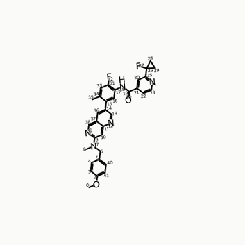 COc1ccc(CN(C)c2cc3ncc(-c4cc(NC(=O)c5ccnc(C6(F)CC6)c5)c(F)cc4C)cc3cn2)cc1